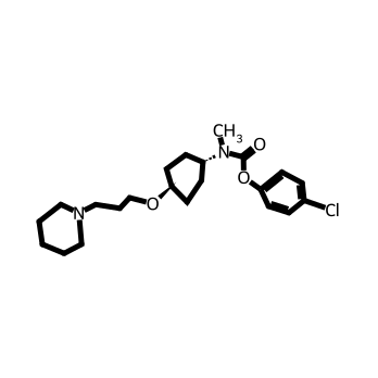 CN(C(=O)Oc1ccc(Cl)cc1)[C@H]1CC[C@H](OCCCN2CCCCC2)CC1